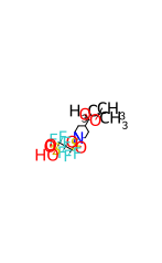 CC(C)(C)OC(=O)C1CCN(S(=O)(=O)C(F)(F)C(F)(F)C(F)(F)S(=O)(=O)O)CC1